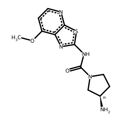 COc1ccnc2sc(NC(=O)N3CC[C@@H](N)C3)nc12